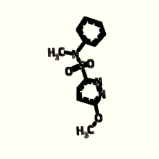 COc1ccc(S(=O)(=O)N(C)c2ccccc2)nn1